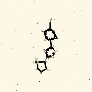 Ic1ccc(-c2noc([C@@H]3CCCN3)n2)cc1